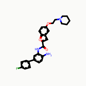 Nc1ccc(-c2ccc(F)cc2)cc1NC(=O)c1cc2cc(OCCN3CCCCC3)ccc2o1